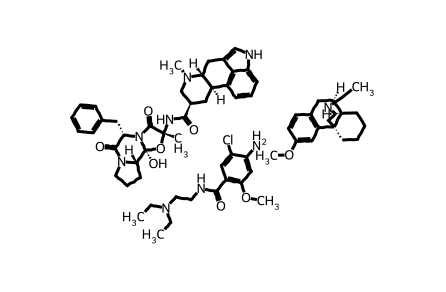 CCN(CC)CCNC(=O)c1cc(Cl)c(N)cc1OC.CN1C[C@H](C(=O)N[C@]2(C)O[C@@]3(O)[C@@H]4CCCN4C(=O)[C@H](Cc4ccccc4)N3C2=O)C[C@@H]2c3cccc4[nH]cc(c34)C[C@H]21.COc1ccc2c(c1)[C@]13CCCC[C@@H]1[C@H](C2)N(C)CC3